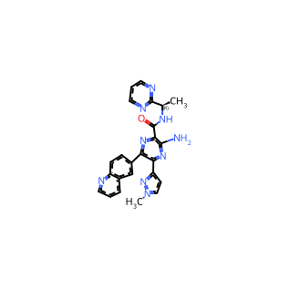 C[C@@H](NC(=O)c1nc(-c2ccc3ncccc3c2)c(-c2ccn(C)n2)nc1N)c1ncccn1